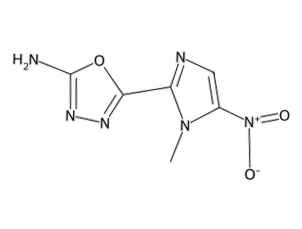 Cn1c([N+](=O)[O-])cnc1-c1nnc(N)o1